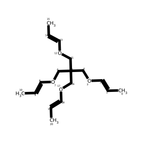 CC=COCC(COC=CC)(COC=CC)COC=CC